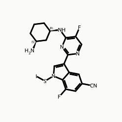 N#Cc1cc(F)c2c(c1)c(-c1ncc(F)c(N[C@@H]3CCC[C@H](N)C3)n1)cn2SI